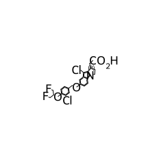 O=C(O)C[C@H]1CCn2c1c(Cl)c1cc(OCc3ccc(OC(CF)CF)c(Cl)c3)ccc12